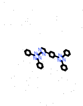 c1ccc(-c2nc(-c3ccccc3)nc(-c3ccc(-c4ccnc(-c5nc(-c6ccccc6)nc(-c6ccccc6)n5)n4)cc3)n2)cc1